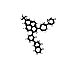 CC(C)(C)c1cc2ccc3c(C4=CC=C(c5ccccn5)CC=C4)cc(-c4cccc(-c5ccc6c(c5)CCC=C6)c4)c4ccc(c1)c2c34